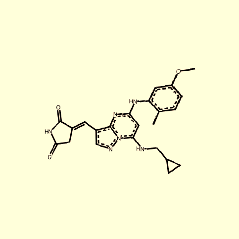 COc1ccc(C)c(Nc2cc(NCC3CC3)n3ncc(/C=C4\CC(=O)NC4=O)c3n2)c1